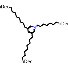 CCCCCCCCCCCCCCCCCCc1cc(CCCCCCCCCCCCCCCCCC)c[n+](CCCCCCCCCCCCCCCCC)c1